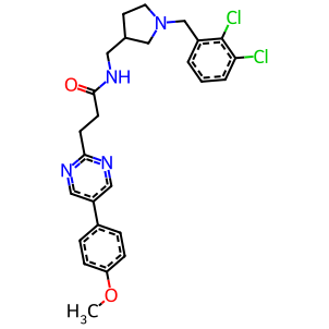 COc1ccc(-c2cnc(CCC(=O)NCC3CCN(Cc4cccc(Cl)c4Cl)C3)nc2)cc1